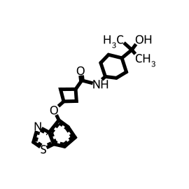 CC(C)(O)C1CCC(NC(=O)C2CC(Oc3cccc4scnc34)C2)CC1